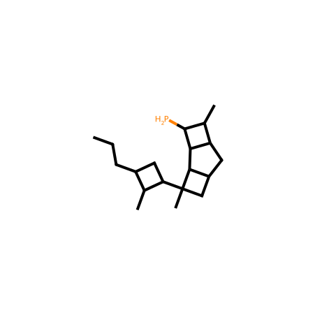 CCCC1CC(C2(C)CC3CC4C(C)C(P)C4C32)C1C